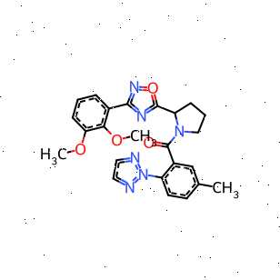 COc1cccc(-c2noc(C3CCCN3C(=O)c3cc(C)ccc3-n3nccn3)n2)c1OC